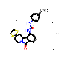 COc1ccc(NC(=O)Nc2cccc3c2C2CC4(CCN2C3=O)SCCS4)cc1